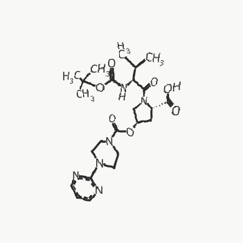 CC(C)[C@H](NC(=O)OC(C)(C)C)C(=O)N1C[C@H](OC(=O)N2CCN(c3ncccn3)CC2)C[C@H]1C(=O)O